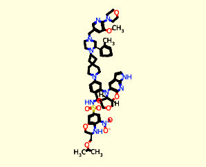 COc1cc(CN2CCN(C3CC4(CCN(c5ccc(C(=O)NS(=O)(=O)c6cc7c(c([N+](=O)[O-])c6)N[C@@H](COC(C)C)CO7)c(N6c7cc8cc[nH]c8nc7O[C@H]7COCC[C@@H]76)c5)CC4)C3)[C@H](c3ccccc3C)C2)cnc1N1CCOCC1